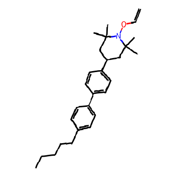 C=CON1C(C)(C)CC(c2ccc(-c3ccc(CCCCC)cc3)cc2)CC1(C)C